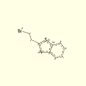 BrCCc1nc2ccccc2s1